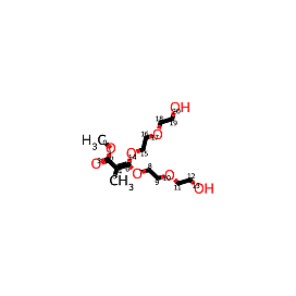 COC(=O)C(C)=C(OCCOCCO)OCCOCCO